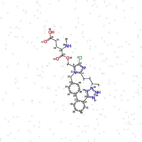 CCCCc1nc(Cl)c(COC(=O)C(CCC(=O)O)NC)n1Cc1ccc(-c2ccccc2-c2nn[nH]n2)cc1